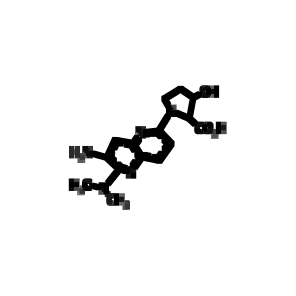 CN(C)c1nc2ccc(N3CCC(O)C3C(=O)O)nc2cc1N